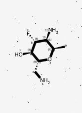 C[C@H]1O[C@H](CN)[C@@H](O)[C@H](F)[C@H]1N